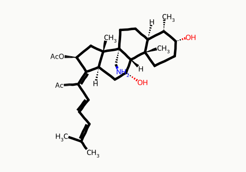 CC(=O)O[C@H]1C[C@@]2(C)[C@@H](C[C@@H](O)[C@H]3[C@@]4(C)CC[C@@H](O)[C@@H](C)[C@@H]4CC[C@@]32CN)/C1=C(\C=C\C=C(C)C)C(C)=O